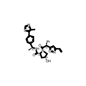 C=Cc1cc([C@@H](C(=O)N2C[C@H](O)C[C@H]2C(=O)N[C@@H](C)c2ccc(-c3scnc3C)cc2)C(C)C)on1